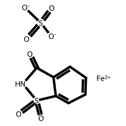 O=C1NS(=O)(=O)c2ccccc21.O=S(=O)([O-])[O-].[Fe+2]